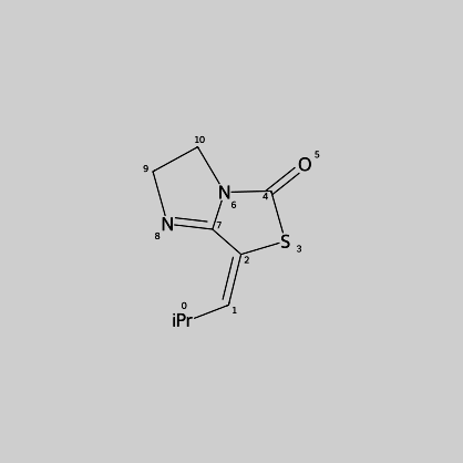 CC(C)C=c1sc(=O)n2c1=NCC2